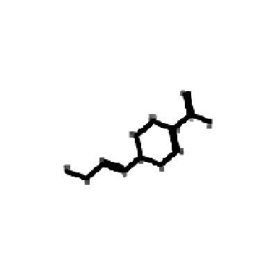 C=C(C)C1=CCC(C=CCC)CC1